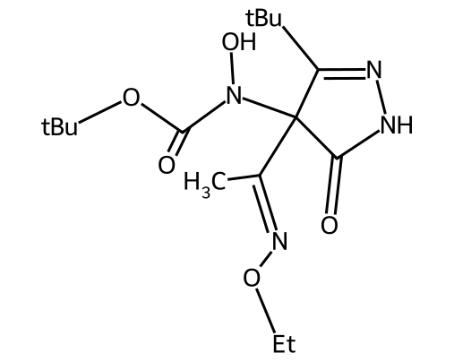 CCON=C(C)C1(N(O)C(=O)OC(C)(C)C)C(=O)NN=C1C(C)(C)C